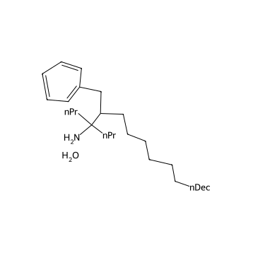 CCCCCCCCCCCCCCCCC(Cc1ccccc1)C(N)(CCC)CCC.O